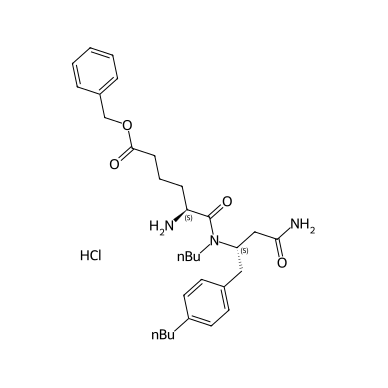 CCCCc1ccc(C[C@@H](CC(N)=O)N(CCCC)C(=O)[C@@H](N)CCCC(=O)OCc2ccccc2)cc1.Cl